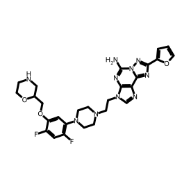 Nc1nc2c(ncn2CCN2CCN(c3cc(OCC4CNCCO4)c(F)cc3F)CC2)c2nc(-c3ccco3)nn12